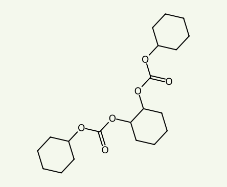 O=C(OC1CCCCC1)OC1CCCCC1OC(=O)OC1CCCCC1